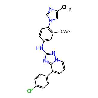 COc1cc(Nc2nc3c(-c4ccc(Cl)cc4)cccn3n2)ccc1-n1cnc(C)c1